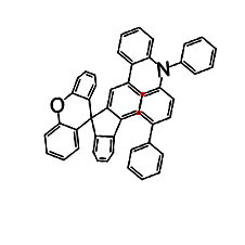 c1ccc(-c2ccc(N(c3ccccc3)c3ccccc3-c3ccc4c(c3)C3(c5ccccc5Oc5ccccc53)c3ccccc3-4)cc2)cc1